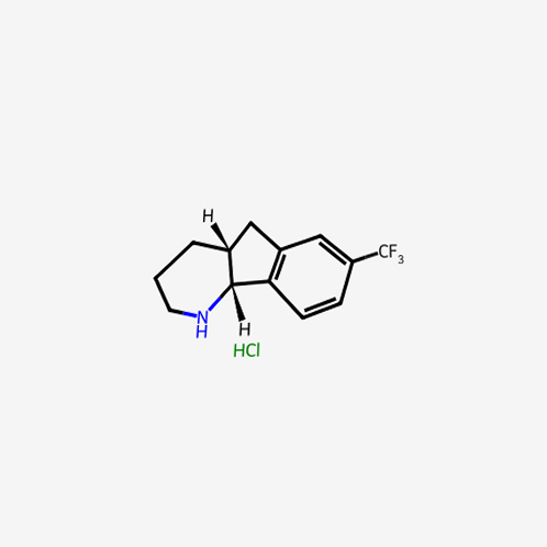 Cl.FC(F)(F)c1ccc2c(c1)C[C@H]1CCCN[C@@H]21